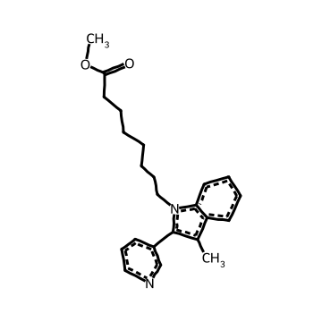 COC(=O)CCCCCCCn1c(-c2cccnc2)c(C)c2ccccc21